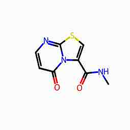 CNC(=O)c1csc2nccc(=O)n12